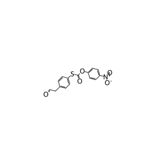 O=CCc1ccc(SC(=O)Oc2ccc([N+](=O)[O-])cc2)cc1